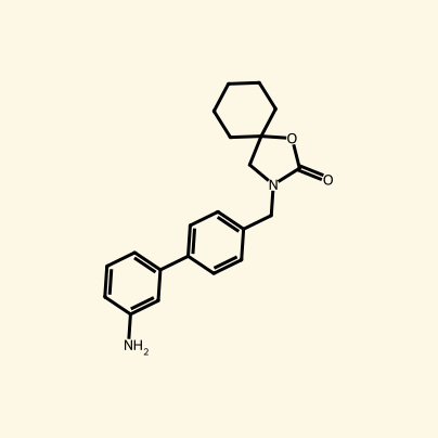 Nc1cccc(-c2ccc(CN3CC4(CCCCC4)OC3=O)cc2)c1